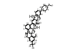 CCN1CCN(c2ccc(Nc3cc(-c4cccc(-n5ncc6cc(C(C)(C)C)cc(F)c6c5=O)c4CO)nn(C)c3=O)nc2)CC1